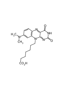 CN(C)c1ccc2nc3c(=O)[nH]c(=O)nc-3n(CCCCCCC(=O)O)c2c1